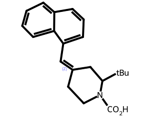 CC(C)(C)C1C/C(=C\c2cccc3ccccc23)CCN1C(=O)O